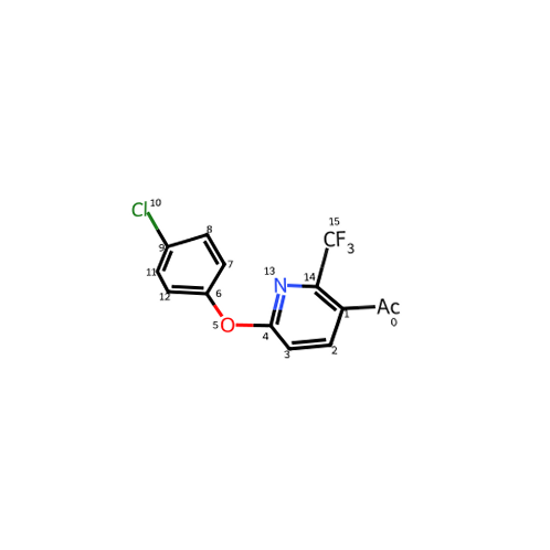 CC(=O)c1ccc(Oc2ccc(Cl)cc2)nc1C(F)(F)F